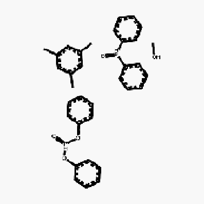 CO.Cc1cc(C)cc(C)c1.O=[PH](Oc1ccccc1)Oc1ccccc1.O=[PH](c1ccccc1)c1ccccc1